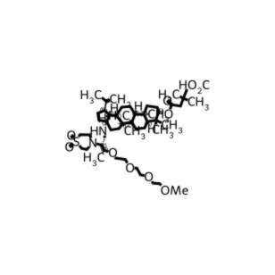 C=C(C)[C@@H]1CC[C@]2(NC[C@H]([C@@H](C)OCCOCCOCCOC)N3CCS(=O)(=O)CC3)CC[C@]3(C)[C@H](CC[C@@H]4[C@@]5(C)CC[C@H](OC(=O)CC(C)(C)CC(=O)O)C(C)(C)[C@@H]5CC[C@]43C)[C@@H]12